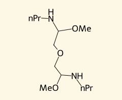 CCCNC(COCC(NCCC)OC)OC